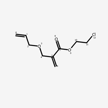 C=CCOCC(=C)C(=O)OCCCl